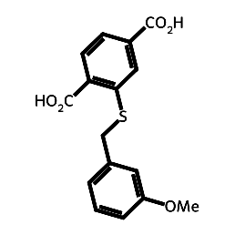 COc1cccc(CSc2cc(C(=O)O)ccc2C(=O)O)c1